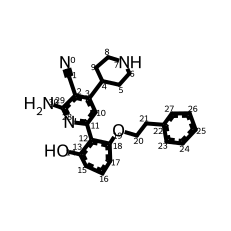 N#Cc1c(C2CCNCC2)cc(-c2c(O)cccc2OCCc2ccccc2)nc1N